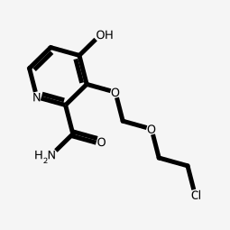 NC(=O)c1nccc(O)c1OCOCCCl